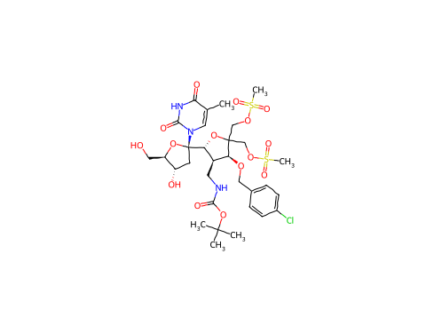 Cc1cn([C@@]2([C@@H]3OC(COS(C)(=O)=O)(COS(C)(=O)=O)[C@@H](OCc4ccc(Cl)cc4)[C@H]3CNC(=O)OC(C)(C)C)C[C@H](O)[C@@H](CO)O2)c(=O)[nH]c1=O